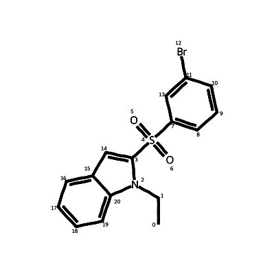 CCn1c(S(=O)(=O)c2cccc(Br)c2)cc2ccccc21